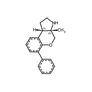 C[C@@]12COc3c(-c4ccccc4)cccc3[C@@H]1CCN2